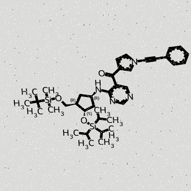 CC(C)[Si](O[C@H]1C[C@H](Nc2ncncc2C(=O)c2ccn(C#Cc3ccccc3)c2)C[C@@H]1CO[Si](C)(C)C(C)(C)C)(C(C)C)C(C)C